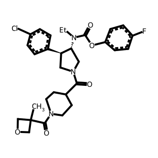 CCN(C(=O)Oc1ccc(F)cc1)[C@@H]1CN(C(=O)C2CCN(C(=O)C3(C)COC3)CC2)C[C@H]1c1ccc(Cl)cc1